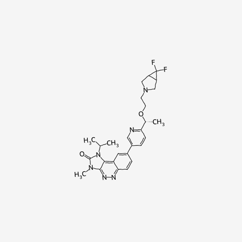 CC(C)n1c(=O)n(C)c2nnc3ccc(-c4ccc([C@@H](C)OCCN5CC6C(C5)C6(F)F)nc4)cc3c21